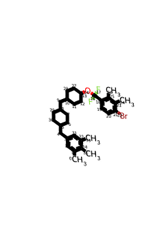 Cc1cc(CC2CCC(CC3CCC(OC(F)(F)c4ccc(Br)c(C)c4C)CC3)CC2)cc(C)c1C